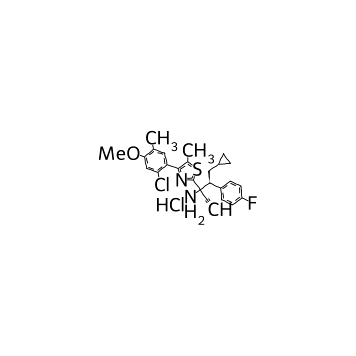 C#CC(N)(c1nc(-c2cc(C)c(OC)cc2Cl)c(C)s1)[C@@H](CC1CC1)c1ccc(F)cc1.Cl